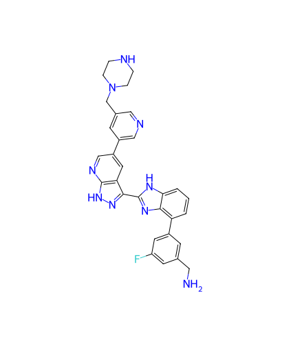 NCc1cc(F)cc(-c2cccc3[nH]c(-c4n[nH]c5ncc(-c6cncc(CN7CCNCC7)c6)cc45)nc23)c1